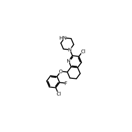 Fc1c(Cl)cccc1OC1CCCc2cc(Cl)c(N3CCNCC3)nc21